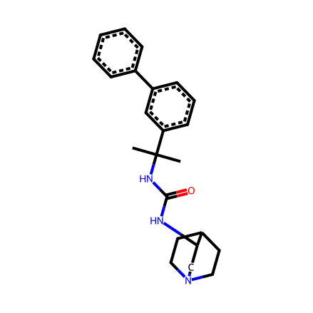 CC(C)(NC(=O)NC1CN2CCC1CC2)c1cccc(-c2ccccc2)c1